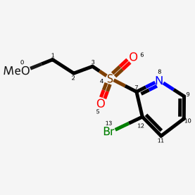 COCCCS(=O)(=O)c1ncccc1Br